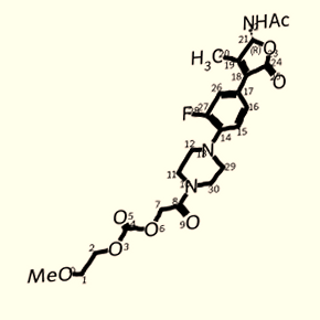 COCCOC(=O)OCC(=O)N1CCN(c2ccc(C3=C(C)[C@H](NC(C)=O)OC3=O)cc2F)CC1